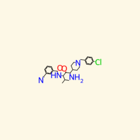 CC(C)C(NC(=O)c1cccc(C#N)c1)C(=O)C(N)C1CCN(Cc2ccc(Cl)cc2)CC1